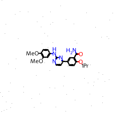 COc1ccc(Nc2nccc(-c3ccc(OC(C)C)c(C(N)=O)c3)n2)cc1OC